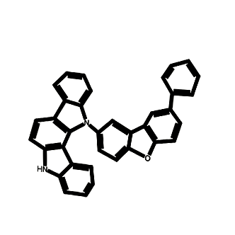 c1ccc(-c2ccc3oc4ccc(-n5c6ccccc6c6ccc7[nH]c8ccccc8c7c65)cc4c3c2)cc1